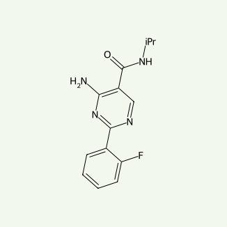 CC(C)NC(=O)c1cnc(-c2ccccc2F)nc1N